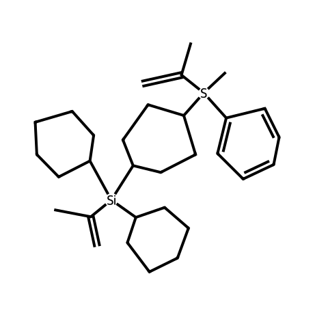 C=C(C)[Si](C1CCCCC1)(C1CCCCC1)C1CCC(S(C)(C(=C)C)c2ccccc2)CC1